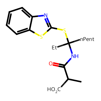 CCCCCC(CC)(NC(=O)C(C)C(=O)O)Sc1nc2ccccc2s1